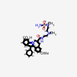 COc1ccc2c(c1)C=C(C(=O)NCCN(C)CCN(C)S(N)(=O)=O)Cn1c-2c(C2CCCCC2)c2ccc(C(=O)O)cc21